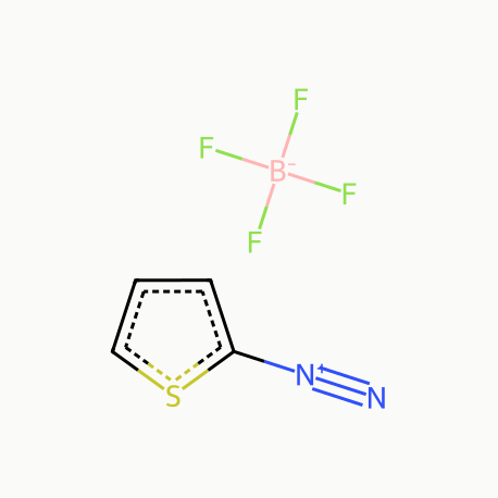 F[B-](F)(F)F.N#[N+]c1cccs1